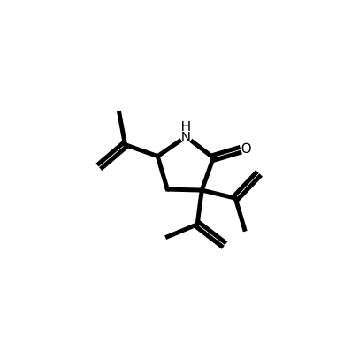 C=C(C)C1CC(C(=C)C)(C(=C)C)C(=O)N1